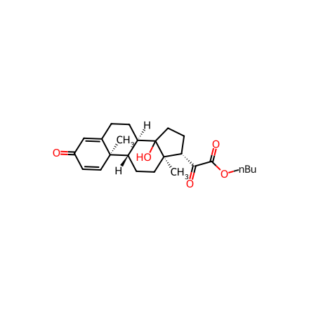 CCCCOC(=O)C(=O)[C@H]1CCC2(O)[C@@H]3CCC4=CC(=O)C=C[C@]4(C)[C@H]3CC[C@]12C